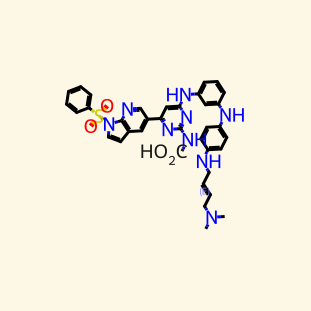 CN(C)C/C=C/CNc1ccc(Nc2cccc(Nc3cc(-c4cnc5c(ccn5S(=O)(=O)c5ccccc5)c4)nc(NC(=O)O)n3)c2)cc1